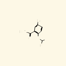 NC(=O)c1cc(Br)ccc1OC(F)F